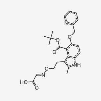 Cc1[nH]c2ccc(OCc3ccccn3)c(C(=O)OC(C)(C)C)c2c1CCON=CC(=O)O